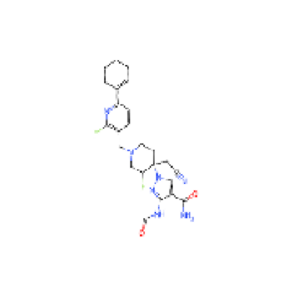 N#CCC1(n2cc(C(N)=O)c(NC=O)n2)CCN(Cc2ccc(C3=CCCCC3)nc2F)CC1F